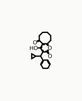 O=C1CCCCCc2oc(=O)c(C(C3=CC[CH]C=C3)C3CC3)c(O)c21